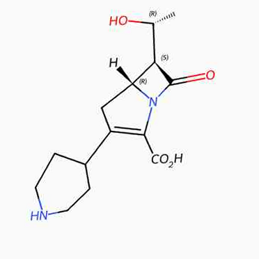 C[C@@H](O)[C@H]1C(=O)N2C(C(=O)O)=C(C3CCNCC3)C[C@H]12